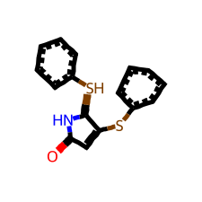 O=C1C=C(Sc2ccccc2)C(=[SH]c2ccccc2)N1